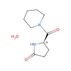 O.O=C1CC[C@H](C(=O)N2CCCCC2)N1